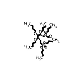 CCCCO[C@@H]([C@H](CN(C=O)OCCCC)OCCCC)[C@@H](CCP(=O)(OCCCC)OCCCC)OCCCC